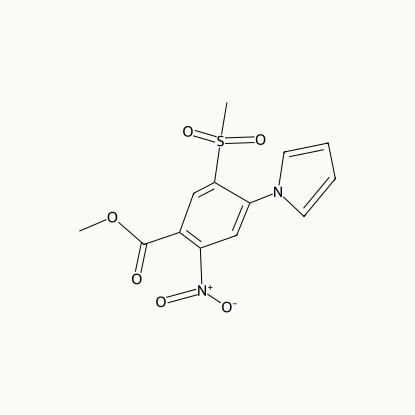 COC(=O)c1cc(S(C)(=O)=O)c(-n2cccc2)cc1[N+](=O)[O-]